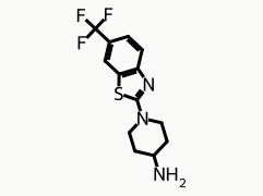 NC1CCN(c2nc3ccc(C(F)(F)F)cc3s2)CC1